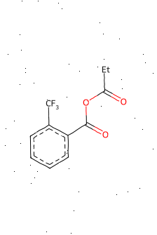 CCC(=O)OC(=O)c1ccccc1C(F)(F)F